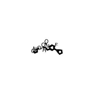 O=C1O[C@@H](COc2ccon2)[C@@H]2Cc3cc(C4C5CCCC54)c(F)cc3N12